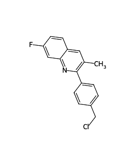 Cc1cc2ccc(F)cc2nc1-c1ccc(CCl)cc1